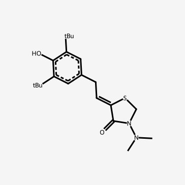 CN(C)N1CSC(=CCc2cc(C(C)(C)C)c(O)c(C(C)(C)C)c2)C1=O